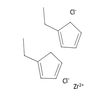 CCC1=CC=CC1.CCC1=CC=CC1.[Cl-].[Cl-].[Zr+2]